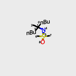 CCCCC(C)(CCCC)N=S(C)(C)=O